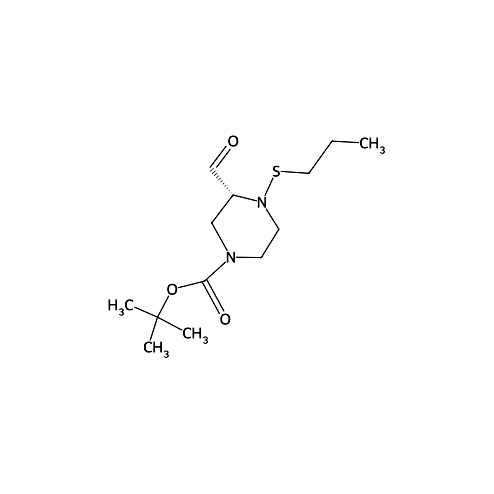 CCCSN1CCN(C(=O)OC(C)(C)C)C[C@@H]1C=O